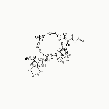 C=CCNC(=O)C(=O)[C@@H]1CCCCNC(=O)OCCC[C@H](NC(=O)NC2(CS(=O)(=O)C(C)(C)C)CCCCC2)C(=O)N2C[C@H]3[C@@H]([C@H]2C(=O)N1)C3(C)C